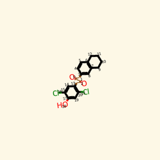 O=S(=O)(c1ccc2c(c1)CCCC2)c1cc(Cl)c(O)cc1Cl